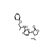 CC(COc1ccccc1)Nc1nccc(N2C(=O)OC[C@@H]2C(C)C)n1